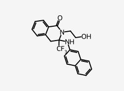 O=C1c2ccccc2CC(Nc2ccc3ccccc3c2)(C(F)(F)F)N1CCO